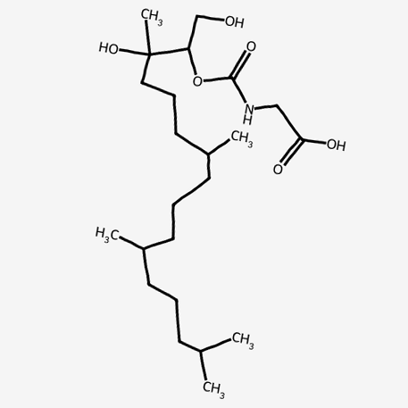 CC(C)CCCC(C)CCCC(C)CCCC(C)(O)C(CO)OC(=O)NCC(=O)O